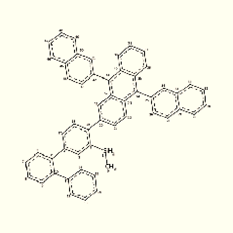 C[SiH2]c1cc(-c2ccccc2-c2ccccc2)ccc1-c1ccc2c(-c3ccc4ccccc4c3)c3ccccc3c(-c3ccc4ccccc4c3)c2c1